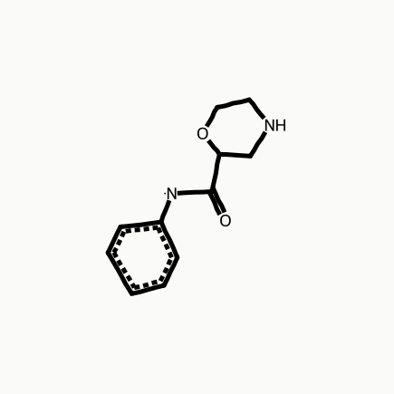 O=C([N]c1ccccc1)C1CNCCO1